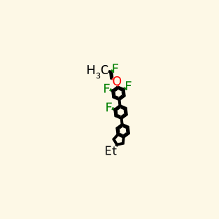 CCC1Cc2ccc(-c3ccc(-c4cc(F)c(O/C=C(/C)F)c(F)c4)c(F)c3)cc2C1